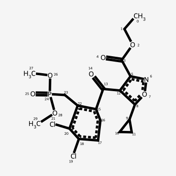 CCOC(=O)c1noc(C2CC2)c1C(=O)c1ccc(Cl)c(Cl)c1CP(=O)(OC)OC